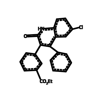 CCOC(=O)c1cccc(-c2c(-c3ccccc3)c3cc(Cl)ccc3[nH]c2=O)c1